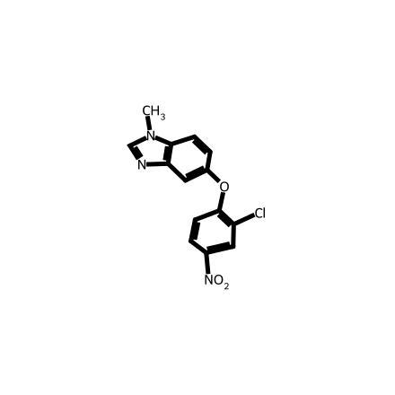 Cn1cnc2cc(Oc3ccc([N+](=O)[O-])cc3Cl)ccc21